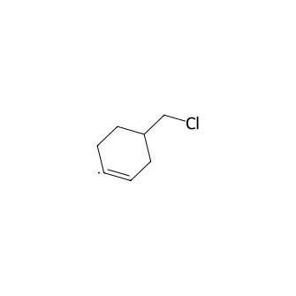 ClCC1CC=[C]CC1